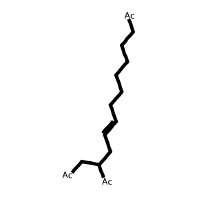 CC(=O)CCCCCC/C=C/CC(CC(C)=O)C(C)=O